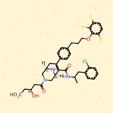 CC(Cc1ccccc1Cl)NC(=O)C1=C(c2ccc(CCCOc3c(F)ccc(F)c3F)cc2)C[C@@H]2CN(C(=O)C[C@@H](O)CC(=O)O)C[C@H]1N2